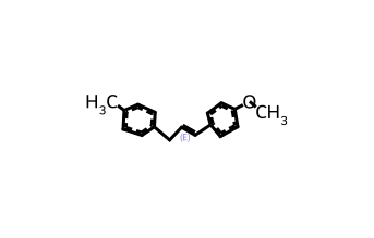 COc1ccc(/C=C/Cc2ccc(C)cc2)cc1